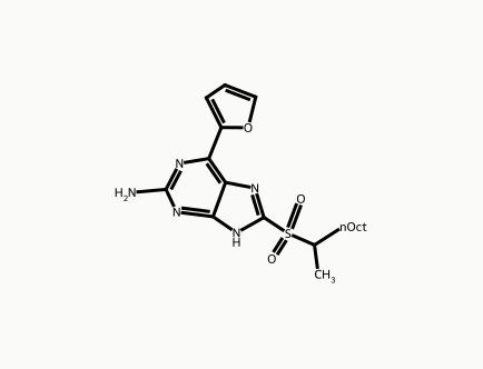 CCCCCCCCC(C)S(=O)(=O)c1nc2c(-c3ccco3)nc(N)nc2[nH]1